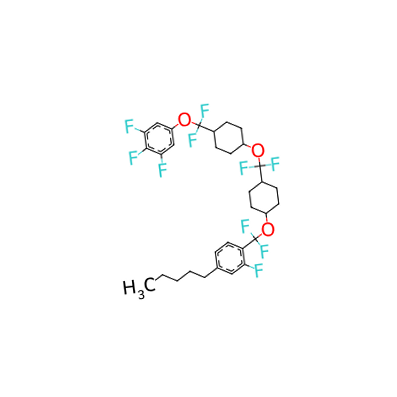 CCCCCc1ccc(C(F)(F)OC2CCC(C(F)(F)OC3CCC(C(F)(F)Oc4cc(F)c(F)c(F)c4)CC3)CC2)c(F)c1